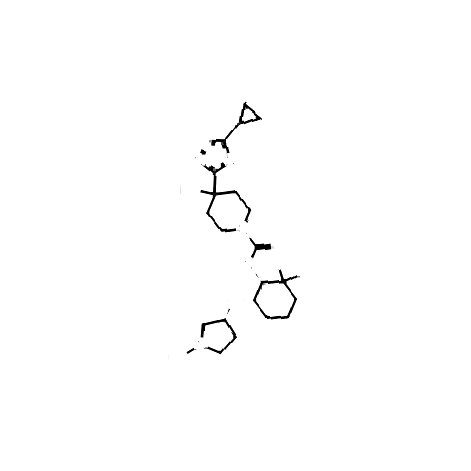 CC(C)N1CC[C@H](O[C@H]2CCCC(F)(F)[C@@H]2NC(=O)N2CCC(C)(c3noc(C4CC4)n3)CC2)C1